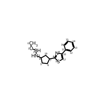 COBNC1CCC(c2nc(-c3ccccc3)cs2)C1